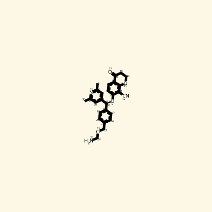 Cc1cc([C@@H](Oc2ccc3c(c2C#N)OCCC3=O)c2ccc(COCN)cc2)cc(C)n1